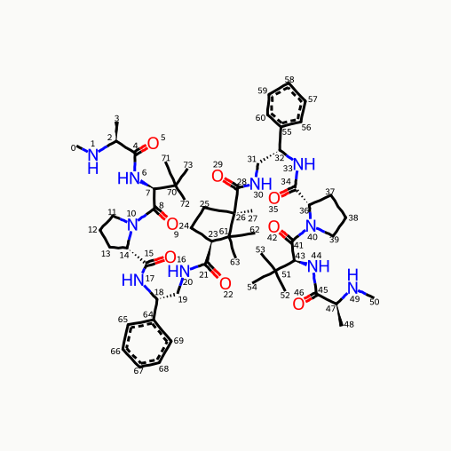 CN[C@@H](C)C(=O)N[C@H](C(=O)N1CCC[C@H]1C(=O)N[C@H](CNC(=O)[C@H]1CC[C@@](C)(C(=O)NC[C@@H](NC(=O)[C@@H]2CCCN2C(=O)[C@@H](NC(=O)[C@H](C)NC)C(C)(C)C)c2ccccc2)C1(C)C)c1ccccc1)C(C)(C)C